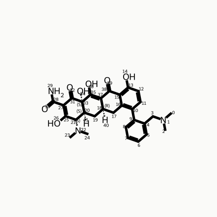 CN(C)Cc1ccccc1-c1ccc(O)c2c1C[C@H]1C[C@H]3[C@H](N(C)C)C(O)=C(C(N)=O)C(=O)[C@@]3(O)C(O)=C1C2=O